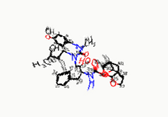 COc1ccc(N(C)C(=O)N(CCC(C)C)C[C@@H](O)[C@H](Cc2ccccc2)NC(=O)OC2C3COC4OCC2C4C3)cc1